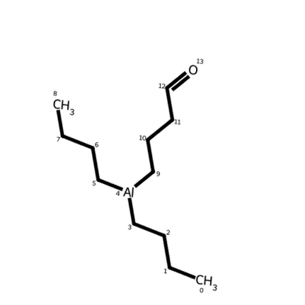 CCC[CH2][Al]([CH2]CCC)[CH2]CCC=O